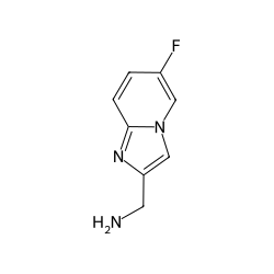 NCc1cn2cc(F)ccc2n1